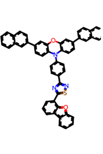 c1ccc2cc(-c3ccc4c(c3)Oc3cc(-c5ccc6ccccc6c5)ccc3N4c3ccc(-c4nsc(-c5cccc6c5oc5ccccc56)n4)cc3)ccc2c1